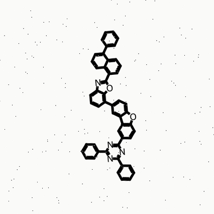 c1ccc(-c2nc(-c3ccccc3)nc(-c3ccc4oc5ccc(-c6cccc7nc(-c8cccc9c(-c%10ccccc%10)cccc89)oc67)cc5c4c3)n2)cc1